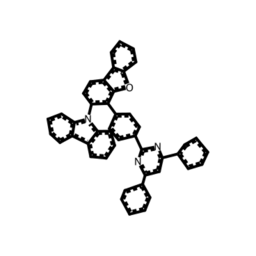 c1ccc(-c2cc(-c3ccccc3)nc(-c3ccc(-c4c(-n5c6ccccc6c6ccccc65)ccc5c4oc4ccccc45)cc3)n2)cc1